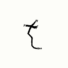 CCC(C)CCCC(F)(F)C(C)C